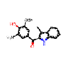 COc1cc(C(=O)c2[nH]c3ccccc3c2C)cc([N+](=O)[O-])c1O